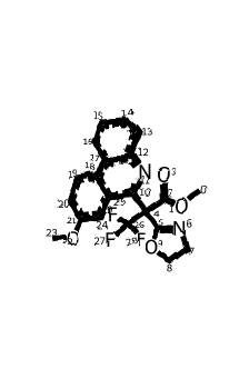 COC(=O)C(C1=NCCO1)(c1nc2ccccc2c2ccc(OC)cc12)C(F)(F)F